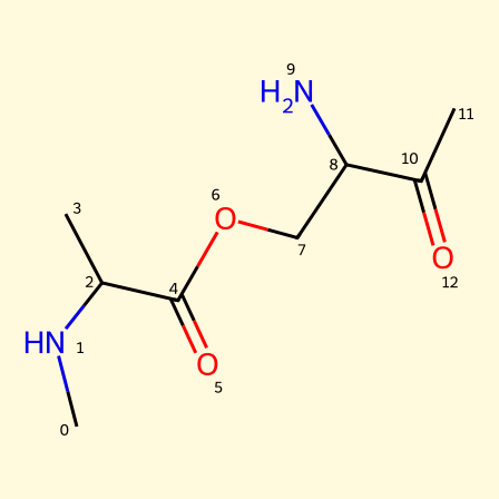 CNC(C)C(=O)OCC(N)C(C)=O